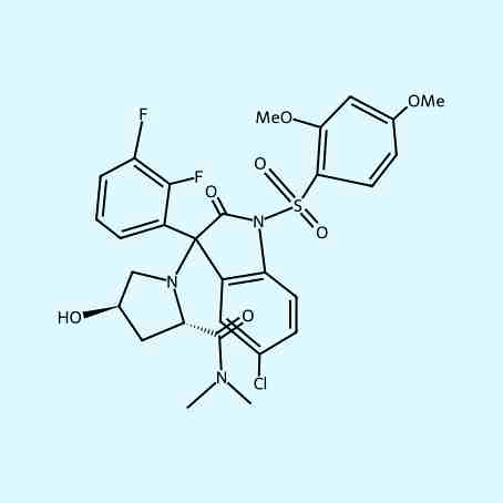 COc1ccc(S(=O)(=O)N2C(=O)C(c3cccc(F)c3F)(N3C[C@H](O)C[C@H]3C(=O)N(C)C)c3cc(Cl)ccc32)c(OC)c1